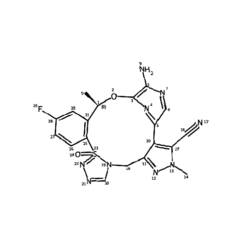 C[C@H]1Oc2nc(cnc2N)-c2c(nn(C)c2C#N)CN2C=NN=S2(=O)c2ccc(F)cc21